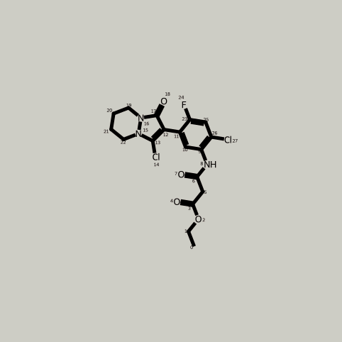 CCOC(=O)CC(=O)Nc1cc(-c2c(Cl)n3n(c2=O)CCCC3)c(F)cc1Cl